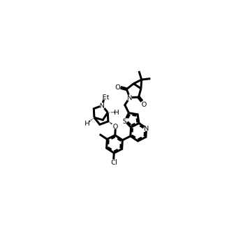 CCN1C[C@H]2C[C@@H]1[C@H](Oc1c(C)cc(Cl)cc1-c1ccnc3cc(CN4C(=O)C5C(C4=O)C5(C)C)sc13)C2